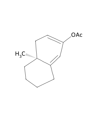 CC(=O)OC1=CC[C@]2(C)CCCCC2=C1